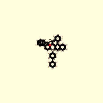 c1ccc(-c2ccc(N(c3ccc(-c4ccccc4)cc3)c3cc4ccccc4c4c5ccccc5c5oc(-c6ccccc6)nc5c34)cc2)cc1